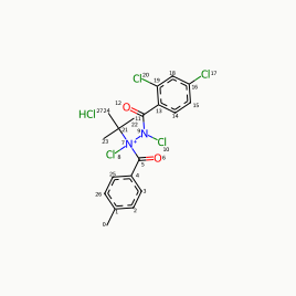 Cc1ccc(C(=O)[N+](Cl)(N(Cl)C(=O)c2ccc(Cl)cc2Cl)C(C)(C)C)cc1.Cl